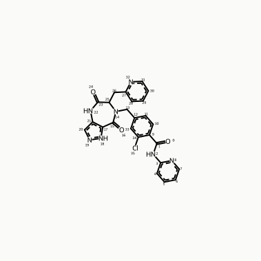 O=C(Nc1ccccn1)c1ccc(CN2C(=O)c3[nH]ncc3NC(=O)C2Cc2ccccn2)cc1Cl